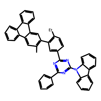 CCc1ccc(-c2nc(-c3ccccc3)nc(-n3c4ccccc4c4ccccc43)n2)cc1-c1cc2c3ccccc3c3ccccc3c2cc1C